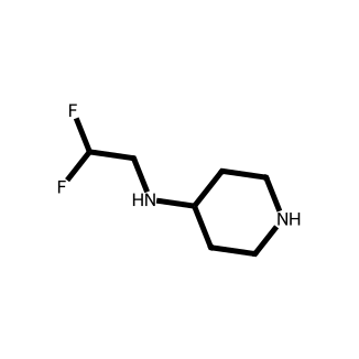 FC(F)CNC1CCNCC1